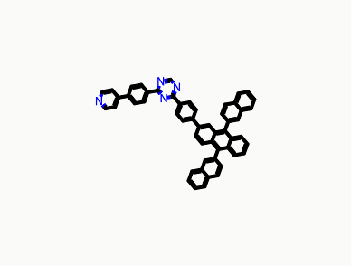 c1ccc2cc(-c3c4ccccc4c(-c4ccc5ccccc5c4)c4cc(-c5ccc(-c6ncnc(-c7ccc(-c8ccncc8)cc7)n6)cc5)ccc34)ccc2c1